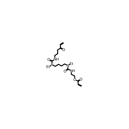 C=CC(=O)CCCNC(=O)N(CC)CCCCN(CC)C(=O)NCCOC(=O)C=C